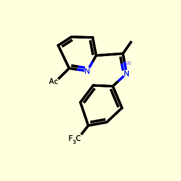 CC(=O)c1cccc(/C(C)=N\c2ccc(C(F)(F)F)cc2)n1